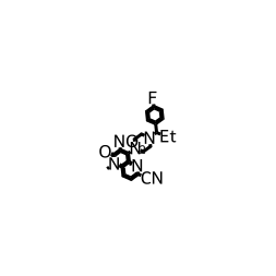 CCC(c1ccc(F)cc1)N1CCN(c2c([N+](=O)[O-])c(=O)n(C)c3ccc(C#N)nc23)CC1